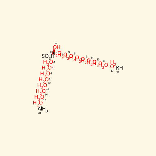 O.O.O.O.O.O.O.O.O.O.O.O.O.O.O.O.O.O.O=S(=O)(O)O.[AlH3].[KH]